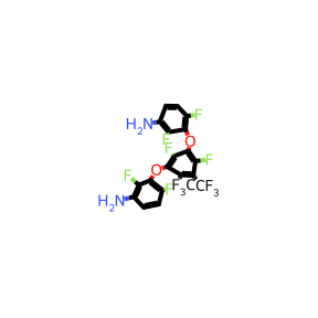 Nc1ccc(F)c(Oc2c(F)c(Oc3c(F)ccc(N)c3F)c(C(F)(F)F)c(C(F)(F)F)c2F)c1F